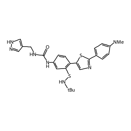 CNc1ccc(-c2ncc(-c3ccc(NC(=O)NCc4cn[nH]c4)cc3SNC(C)(C)C)s2)cc1